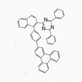 c1ccc(-c2nc(-c3ccccc3)nc(-c3ccc4ccccc4c3-c3ccc(-c4ccc5c6ccccc6c6ccccc6c5c4)cc3)n2)cc1